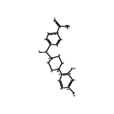 CC(c1ccc(C(=O)O)cc1)N1CCN(c2ccc(F)cc2F)CC1